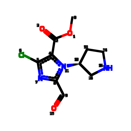 COC(=O)c1c(Cl)nc(C=O)n1[C@@H]1CCNC1